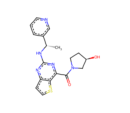 C[C@H](Nc1nc(C(=O)N2CC[C@@H](O)C2)c2sccc2n1)c1cccnc1